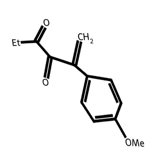 C=C(C(=O)C(=O)CC)c1ccc(OC)cc1